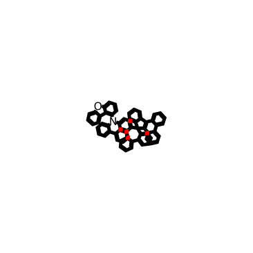 c1ccc(-c2ccccc2N(c2ccc3c(c2)-c2ccccc2-c2ccccc2C32c3ccccc3-c3c2c2ccccc2c2ccccc32)c2cccc3oc4ccccc4c23)cc1